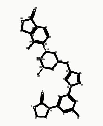 Cc1cc(N2CCOC2=O)cc(-n2cc(CN3C[C@@H](c4ccc5c(c4C)COC5=O)N[C@@H](C)C3)cn2)c1